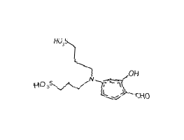 O=Cc1ccc(N(CCCS(=O)(=O)O)CCCS(=O)(=O)O)cc1O